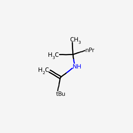 C=C(NC(C)(C)CCC)C(C)(C)C